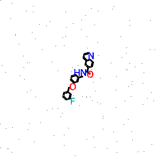 O=C(NCc1cccc(OCc2cccc(F)c2)c1)c1ccc2ncccc2c1